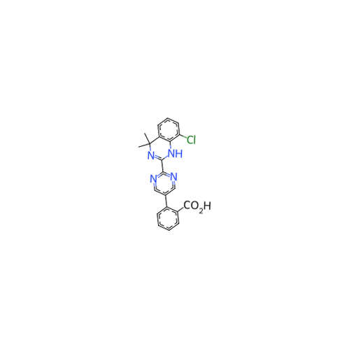 CC1(C)N=C(c2ncc(-c3ccccc3C(=O)O)cn2)Nc2c(Cl)cccc21